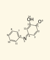 O=C1C=C/C(=N/c2ccccc2)C=C1O